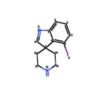 Ic1cccc2c1C1(C=N2)CCNCC1